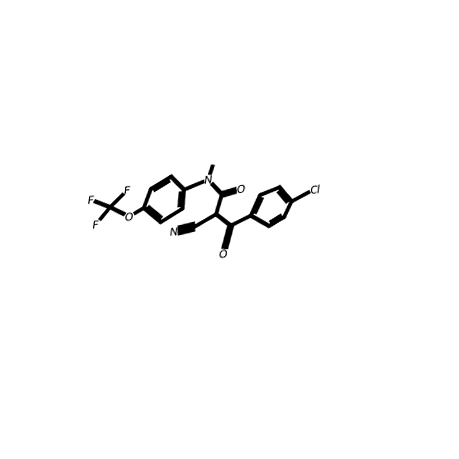 CN(C(=O)C(C#N)C(=O)c1ccc(Cl)cc1)c1ccc(OC(F)(F)F)cc1